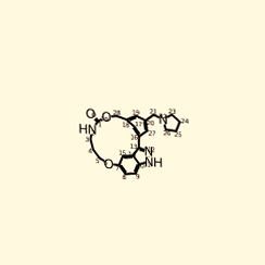 O=C1NCCCOc2ccc3[nH]nc(c3c2)-c2cc(cc(CN3CCCC3)c2)CO1